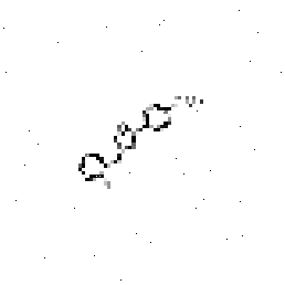 COc1ccc(C2=CC(Cc3ccccc3C)CO2)cc1